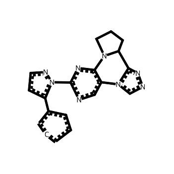 c1ccc(-c2ccnn2-c2ncc3c(n2)N2CCCC2c2nncn2-3)cc1